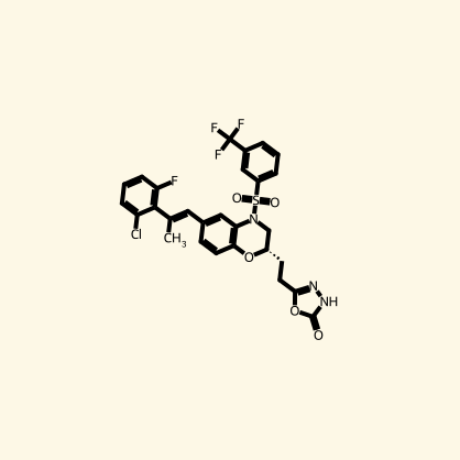 C/C(=C\c1ccc2c(c1)N(S(=O)(=O)c1cccc(C(F)(F)F)c1)C[C@H](CCc1n[nH]c(=O)o1)O2)c1c(F)cccc1Cl